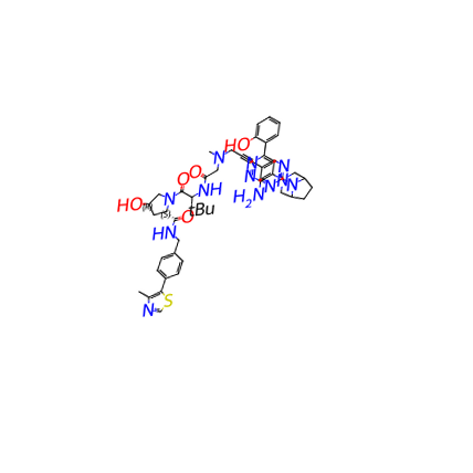 Cc1ncsc1-c1ccc(CNC(=O)[C@@H]2C[C@@H](O)CN2C(=O)C(NC(=O)CN(C)CC#Cc2cnc(N3C4CCC3CN(c3cc(-c5ccccc5O)nnc3N)C4)nc2)C(C)(C)C)cc1